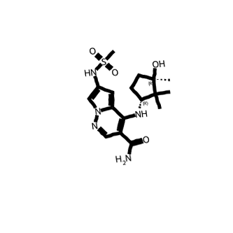 CC1(C)[C@H](Nc2c(C(N)=O)cnn3cc(NS(C)(=O)=O)cc23)CC[C@@]1(C)O